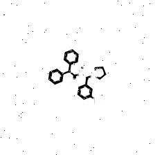 CCc1cccc([C@@H](N2CCCC2)N(C)C(=O)C(c2ccccc2)c2ccccc2)c1